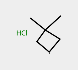 CC1(C)C[CH]C1.Cl